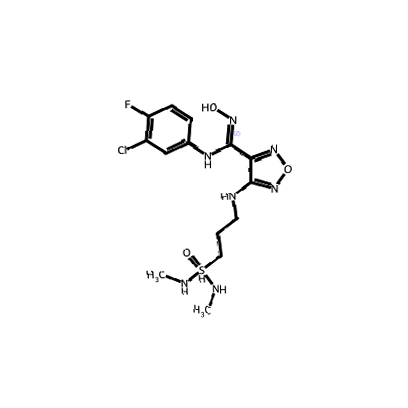 CN[SH](=O)(CCCNc1nonc1/C(=N/O)Nc1ccc(F)c(Cl)c1)NC